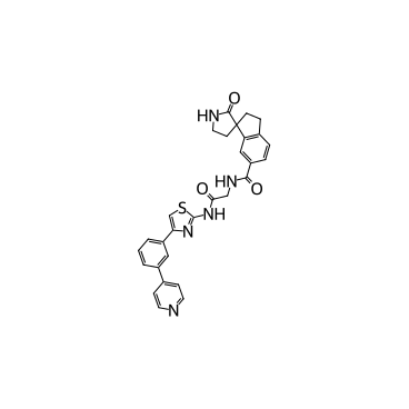 O=C(CNC(=O)c1ccc2c(c1)C1(CCNC1=O)CC2)Nc1nc(-c2cccc(-c3ccncc3)c2)cs1